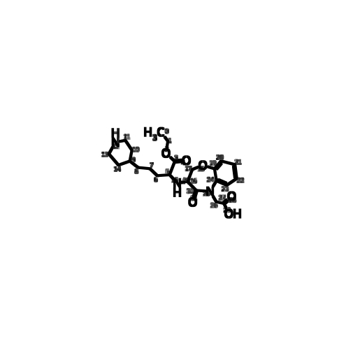 CCOC(=O)C(CCCC1CCNCC1)N[C@H]1COc2ccccc2N(CC(=O)O)C1=O